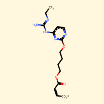 NC(=NCC(F)(F)F)Nc1ccnc(OCCCCOC(=O)/C=C\C(=O)O)n1